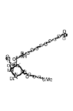 CCC1=C(C)c2cc3[nH]c(cc4nc(c5c6[nH]c(cc1n2)c(C)c6C(=O)N(CCN1CCOCC1)C5=O)[C@@H](CCC(=O)N(C)CCNC(=O)CCOCCOCCOCCOCCOCCOCCOCCOCCN1C(=O)C=CC1=O)[C@@H]4C)c(C)c3/C=C/C(=O)OCCOCCOCCOC